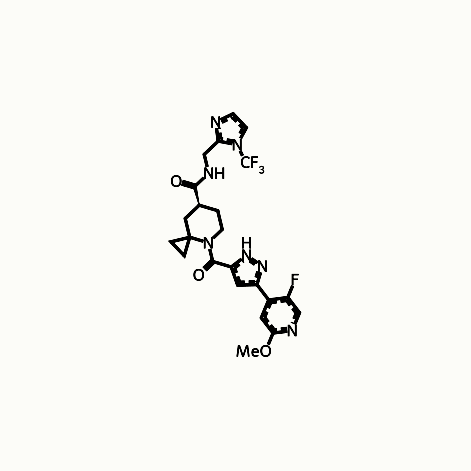 COc1cc(-c2cc(C(=O)N3CC[C@H](C(=O)NCc4nccn4C(F)(F)F)CC34CC4)[nH]n2)c(F)cn1